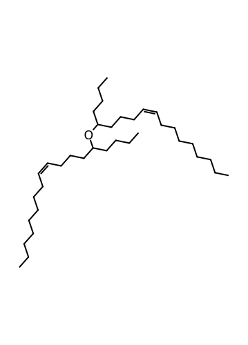 CCCCCCCC/C=C\CCCC(CCCC)OC(CCCC)CCC/C=C\CCCCCCCC